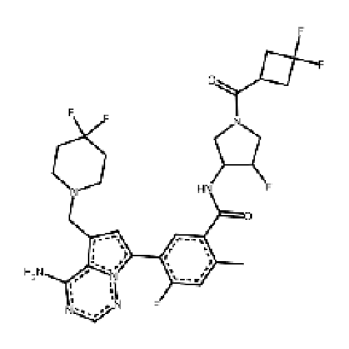 Cc1cc(F)c(-c2cc(CN3CCC(F)(F)CC3)c3c(N)ncnn23)cc1C(=O)NC1CN(C(=O)C2CC(F)(F)C2)CC1F